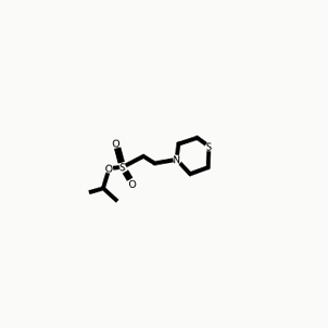 CC(C)OS(=O)(=O)CCN1CCSCC1